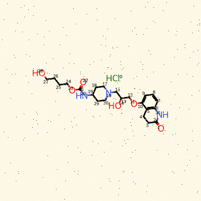 Cl.O=C1CCc2c(cccc2OCC(O)CN2CCC(NC(=O)OCCCCO)CC2)N1